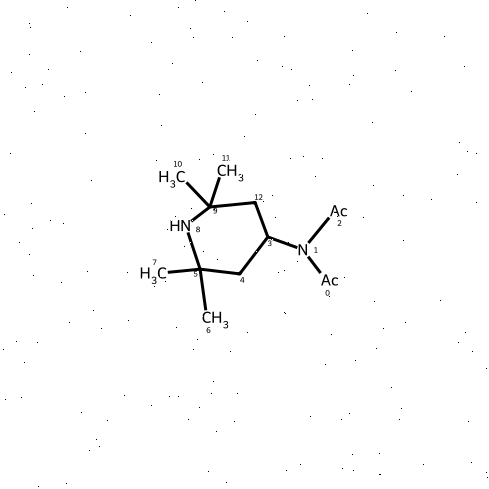 CC(=O)N(C(C)=O)C1CC(C)(C)NC(C)(C)C1